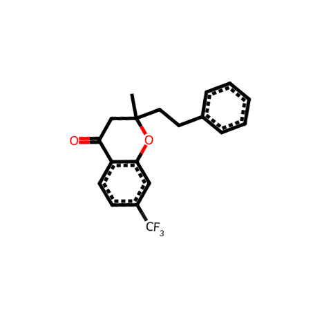 CC1(CCc2ccccc2)CC(=O)c2ccc(C(F)(F)F)cc2O1